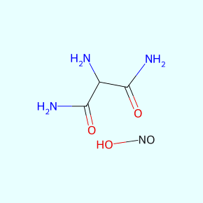 NC(=O)C(N)C(N)=O.O=NO